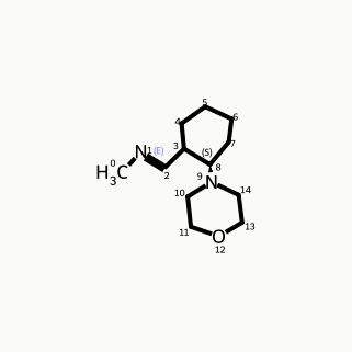 C/N=C/C1CCCC[C@@H]1N1CCOCC1